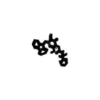 COC(=O)[C@H](CC(=O)OC(C)(C)c1ccccc1)N(C)C(=O)OCC1c2ccccc2-c2ccccc21